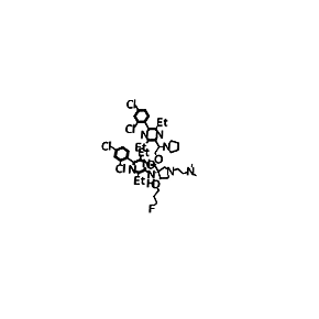 CCc1nc(-c2ccc(Cl)cc2Cl)c(CC)nc1N[C@]1(C(=O)OCC(c2nc(CC)c(-c3ccc(Cl)cc3Cl)nc2CC)N2CCCC2)CN(CCN(C)C)C[C@@H]1OCCCF